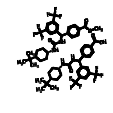 CC(C)(C)[C@H]1CC[C@H](NC(=O)NC(c2ccc(C(=O)O)cc2)c2cc(C(F)(F)F)cc(C(F)(F)F)c2)CC1.COC(=O)c1ccc(C(NC(=O)N[C@H]2CC[C@H](C(C)(C)C)CC2)c2cc(C(F)(F)F)cc(C(F)(F)F)c2)cc1